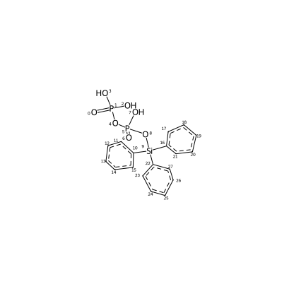 O=P(O)(O)OP(=O)(O)O[Si](c1ccccc1)(c1ccccc1)c1ccccc1